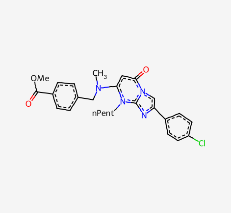 CCCCCn1c(N(C)Cc2ccc(C(=O)OC)cc2)cc(=O)n2cc(-c3ccc(Cl)cc3)nc12